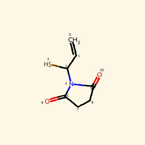 C=CC(S)N1C(=O)CCC1=O